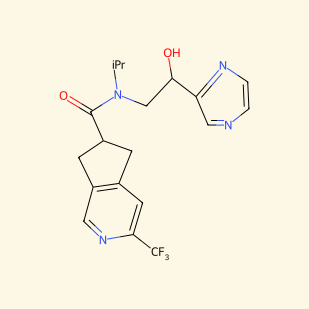 CC(C)N(CC(O)c1cnccn1)C(=O)C1Cc2cnc(C(F)(F)F)cc2C1